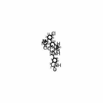 O=C1CCc2cc(-c3cnc([C@@H]4[C@H]5C[C@H]5c5cc(-c6cc(Cl)ccc6-n6cc(Cl)nn6)cc(=O)n54)[nH]3)ccc2N1